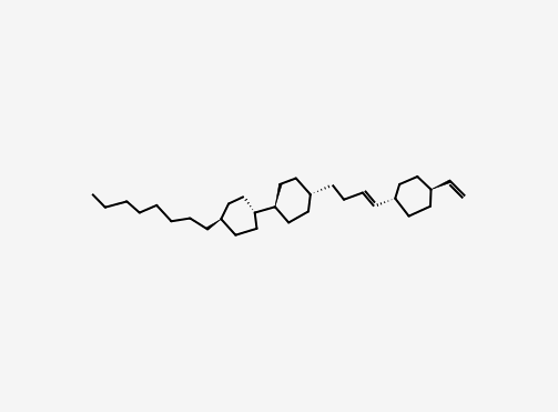 C=C[C@H]1CC[C@H](C=CCC[C@H]2CC[C@H]([C@H]3CC[C@H](CCCCCCCC)CC3)CC2)CC1